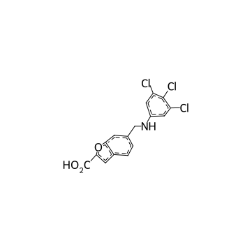 O=C(O)c1cc2ccc(CNc3cc(Cl)c(Cl)c(Cl)c3)cc2o1